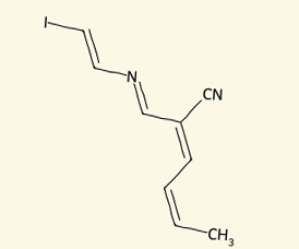 C\C=C/C=C(C#N)\C=N\C=C\I